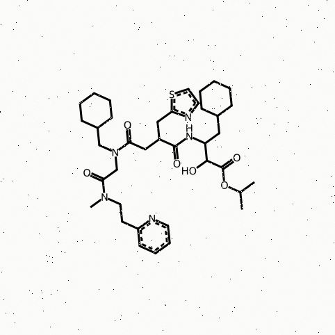 CC(C)OC(=O)C(O)C(CC1CCCCC1)NC(=O)C(CC(=O)N(CC(=O)N(C)CCc1ccccn1)CC1CCCCC1)Cc1nccs1